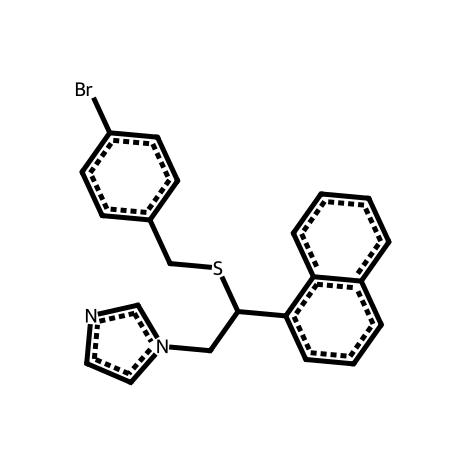 Brc1ccc(CSC(Cn2ccnc2)c2cccc3ccccc23)cc1